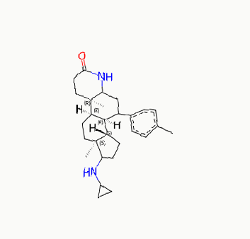 Cc1ccc(C2CC3NC(=O)CC[C@]3(C)[C@@H]3CC[C@]4(C)C(NC5CC5)CC[C@H]4[C@H]23)cc1